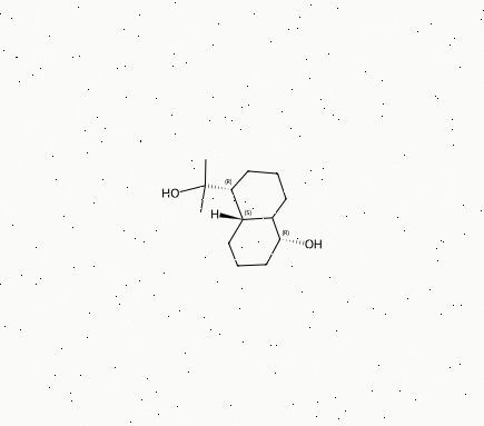 CC(C)(O)[C@@H]1CCCC2[C@H](O)CCC[C@@H]21